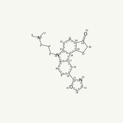 CN(C)CCCn1c2ccc(-c3ncco3)cc2c2c3c(ccc21)C(=O)CC3